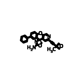 CC1(C#Cc2cc3c(cn2)Oc2ccc(-c4ccccc4)cc2[C@@]32COC(N)=N2)COC1